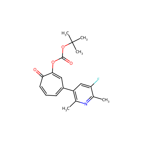 Cc1nc(C)c(-c2cccc(=O)c(OC(=O)OC(C)(C)C)c2)cc1F